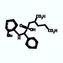 CC(C)(C)c1ccccc1NC(c1ccccc1)P(=O)(O)CC(CCC(=O)O)C(=O)O